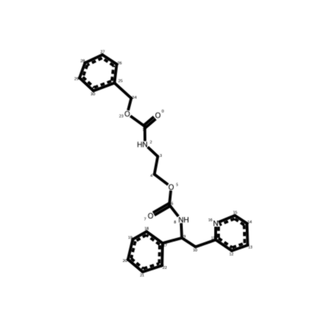 O=C(NCCOC(=O)NC(Cc1ccccn1)c1ccccc1)OCc1ccccc1